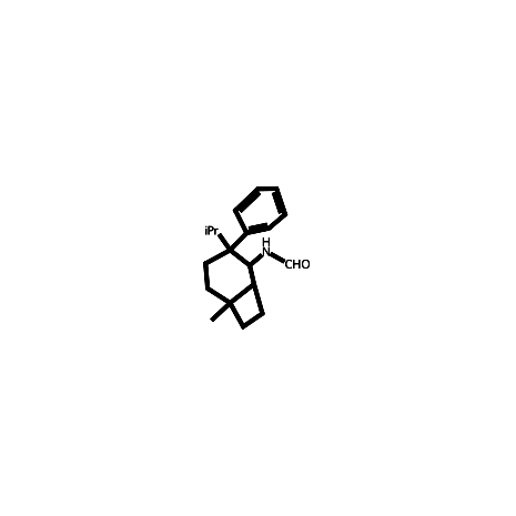 CC(C)C1(c2ccccc2)CCC2(C)CCC2C1NC=O